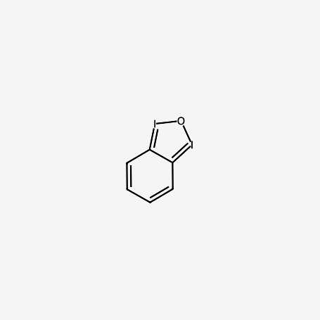 c1ccc2c(c1)=IOI=2